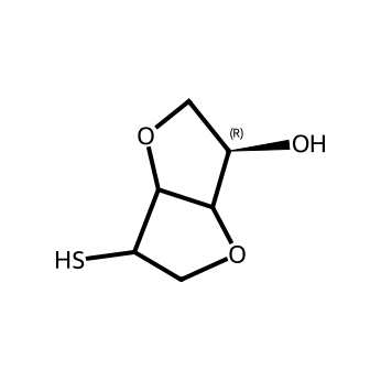 O[C@@H]1COC2C(S)COC21